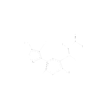 Cc1cc(F)c(-c2noc(C(F)(F)F)c2C)cc1[S+]([O-])C(F)C(F)F